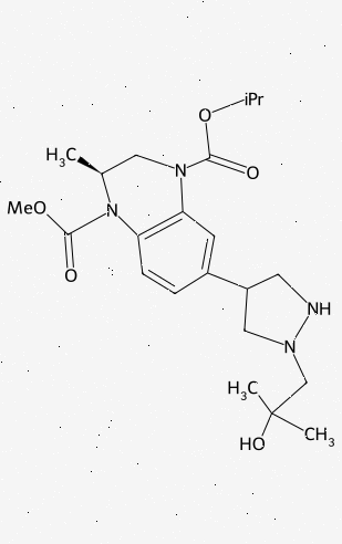 COC(=O)N1c2ccc(C3CNN(CC(C)(C)O)C3)cc2N(C(=O)OC(C)C)C[C@@H]1C